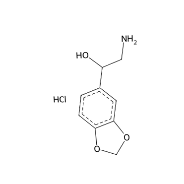 Cl.NCC(O)c1ccc2c(c1)OCO2